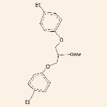 CCc1ccc(OCC(COc2ccc(CC)cc2)OC)cc1